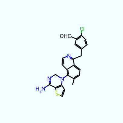 Cc1ccc2c(Cc3ccc(Cl)c(C=O)c3)nccc2c1N1CN=C(N)c2sccc21